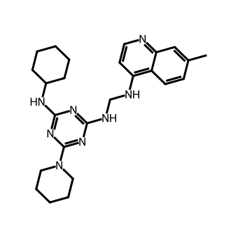 Cc1ccc2c(NCNc3nc(NC4CCCCC4)nc(N4CCCCC4)n3)ccnc2c1